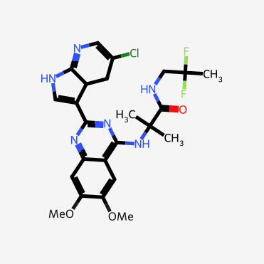 COc1cc2nc(C3=CNC4=NC=C(Cl)CC34)nc(NC(C)(C)C(=O)NCC(C)(F)F)c2cc1OC